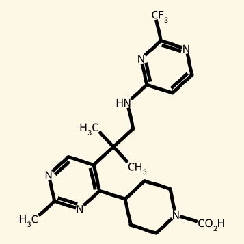 Cc1ncc(C(C)(C)CNc2ccnc(C(F)(F)F)n2)c(C2CCN(C(=O)O)CC2)n1